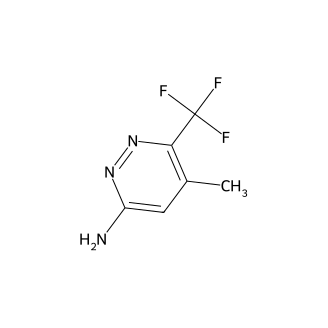 Cc1cc(N)nnc1C(F)(F)F